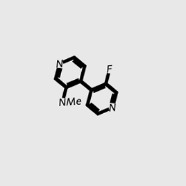 CNc1cnccc1-c1ccncc1F